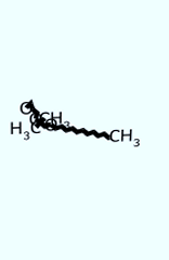 CCCCCCCCCCCCOCC(C)(C)OCC1CO1